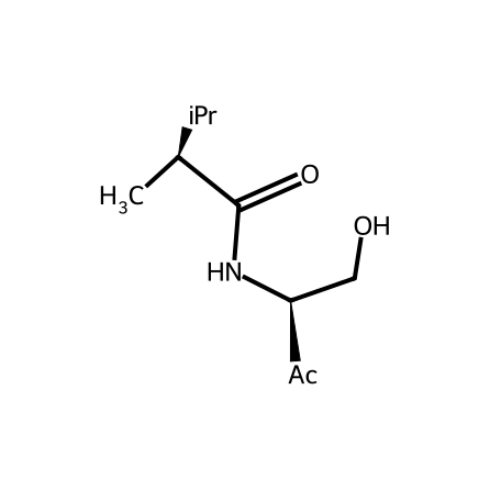 CC(=O)[C@H](CO)NC(=O)[C@@H](C)C(C)C